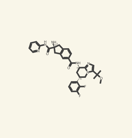 COC(C)(C)c1cnc2n1C[C@H](c1cccc(F)c1F)C[C@@H]2NC(=O)c1ccc2c(c1)C[C@](N)(C(=O)Nc1ccccn1)C2